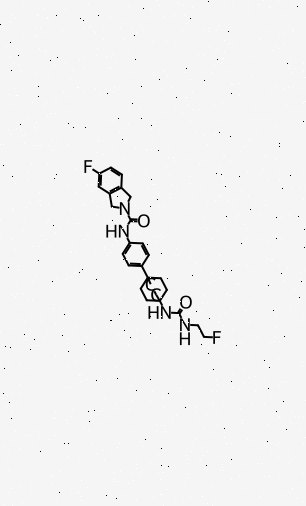 O=C(NCCF)NC12CCC(c3ccc(NC(=O)N4Cc5ccc(F)cc5C4)cc3)(CC1)CC2